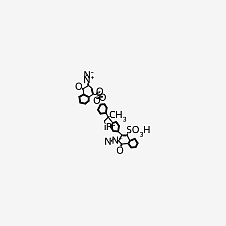 CC(C)CC(C)(c1ccc(OS(=O)(=O)C2=CC(=[N+]=[N-])C(=O)c3ccccc32)cc1)c1ccc(C2=C(S(=O)(=O)O)c3ccccc3C(=O)C2=[N+]=[N-])cc1